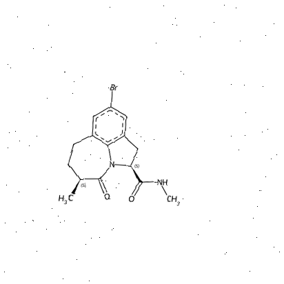 CNC(=O)[C@@H]1Cc2cc(Br)cc3c2N1C(=O)[C@@H](C)CC3